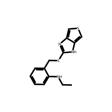 CCNc1ccccc1CSc1nc2cscc2[nH]1